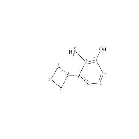 Nc1c(O)cccc1C1CCC1